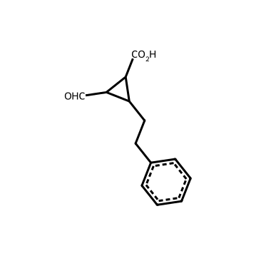 O=CC1C(CCc2ccccc2)C1C(=O)O